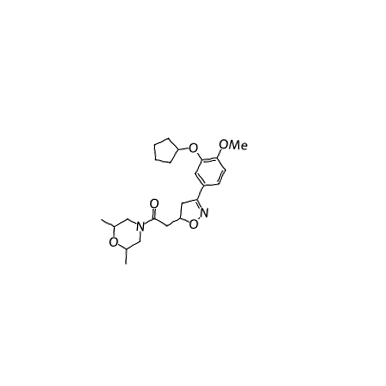 COc1ccc(C2=NOC(CC(=O)N3CC(C)OC(C)C3)C2)cc1OC1CCCC1